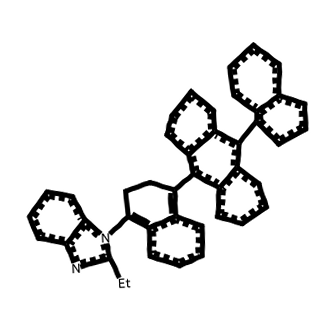 CCc1nc2ccccc2n1C1=c2ccccc2=C(c2c3ccccc3c(-c3cccc4ccccc34)c3ccccc23)CC1